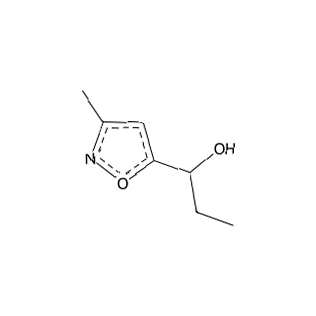 CCC(O)c1cc(C)no1